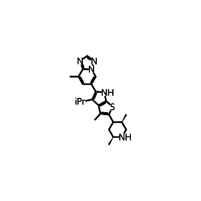 Cc1c(C2C[C@H](C)NC[C@@H]2C)sc2[nH]c(-c3cc(C)c4ncnn4c3)c(C(C)C)c12